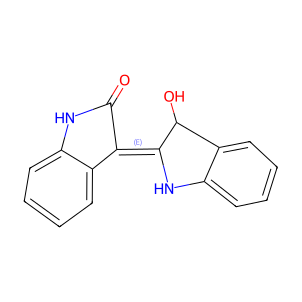 O=C1Nc2ccccc2/C1=C1\Nc2ccccc2C1O